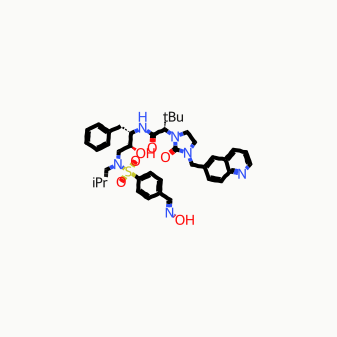 CC(C)CN(C[C@H](O)[C@H](Cc1ccccc1)NC(=O)[C@@H](N1CCN(Cc2ccc3ncccc3c2)C1=O)C(C)(C)C)S(=O)(=O)c1ccc(C=NO)cc1